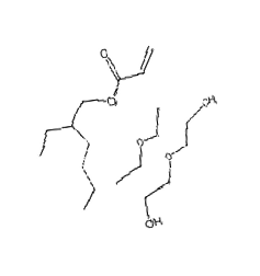 C=CC(=O)OCC(CC)CCCC.CCOCC.OCCOCCO